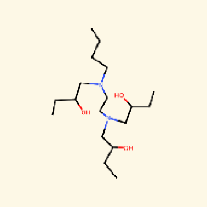 CCCCN(CCN(CC(O)CC)CC(O)CC)CC(O)CC